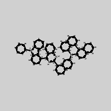 c1ccc(-n2c3ccccc3c3c(-c4nc(-c5cccc6ccc(N7c8ccc9ccccc9c8-c8cccc9cccc7c89)cc56)nc5ccccc45)cccc32)cc1